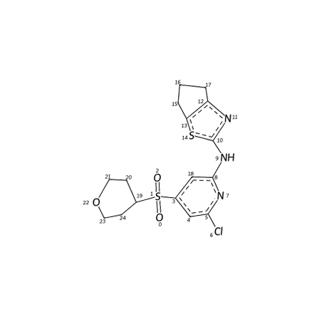 O=S(=O)(c1cc(Cl)nc(Nc2nc3c(s2)CCC3)c1)C1CCOCC1